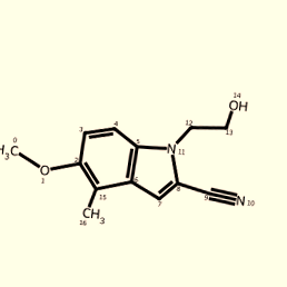 COc1ccc2c(cc(C#N)n2CCO)c1C